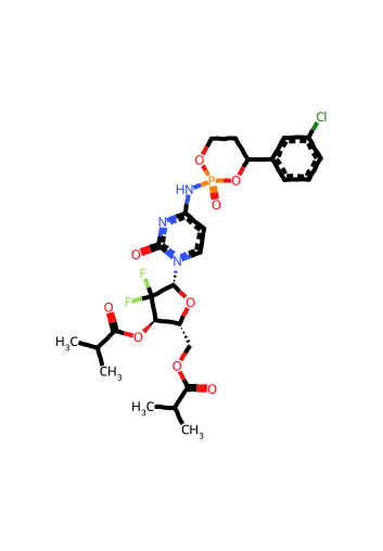 CC(C)C(=O)OC[C@H]1O[C@@H](n2ccc(NP3(=O)OCCC(c4cccc(Cl)c4)O3)nc2=O)C(F)(F)[C@@H]1OC(=O)C(C)C